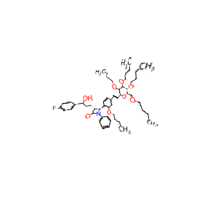 CCCCOCC1O[C@@H](/C=C/c2ccc([C@@H]3[C@@H](CC[C@H](O)c4ccc(F)cc4)C(=O)N3c3ccccc3)c(OCCCC)c2)[C@@H](OCCCC)C(OCCCC)[C@@H]1OCCCC